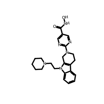 O=C(NO)c1cnc(N2CCc3c(n(CCN4CCCCC4)c4ccccc34)C2)nc1